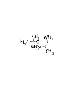 CC(CN)[SiH2]OC(C)(C)C